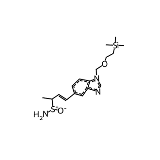 CC(C=Cc1ccc2c(c1)ncn2COCC[Si](C)(C)C)[S+](N)[O-]